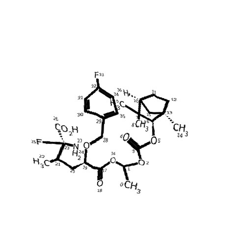 CC(OC(=O)O[C@H]1C(C)(C)[C@H]2CC[C@]1(C)C2)OC(=O)[C@@H](CC(C)[C@](N)(F)C(=O)O)OCc1ccc(F)cc1